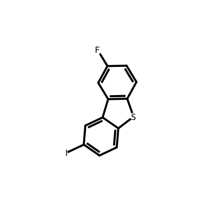 Fc1ccc2sc3ccc(I)cc3c2c1